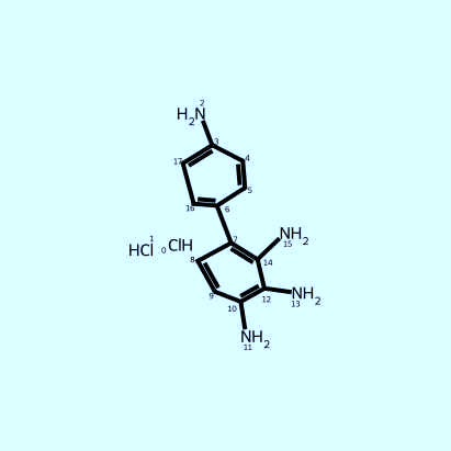 Cl.Cl.Nc1ccc(-c2ccc(N)c(N)c2N)cc1